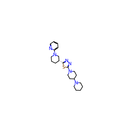 c1ccc(N2CCC[C@@H](c3nnc(N4CCC(N5CCCCC5)CC4)s3)C2)nc1